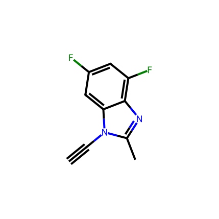 C#Cn1c(C)nc2c(F)cc(F)cc21